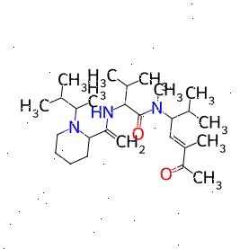 C=C(NC(C(=O)N(C)C(/C=C(\C)C(C)=O)C(C)C)C(C)C)C1CCCCN1C(C)C(C)C